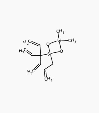 C=CC[Si]1(C(C=C)(C=C)C=C)O[Si](C)(C)O1